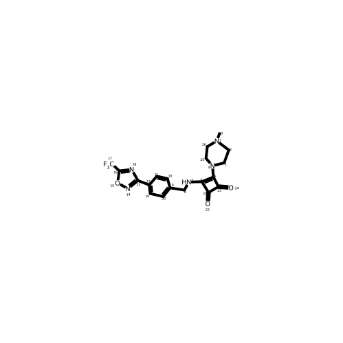 CN1CCN(c2c(NCc3ccc(-c4noc(C(F)(F)F)n4)cc3)c(=O)c2=O)CC1